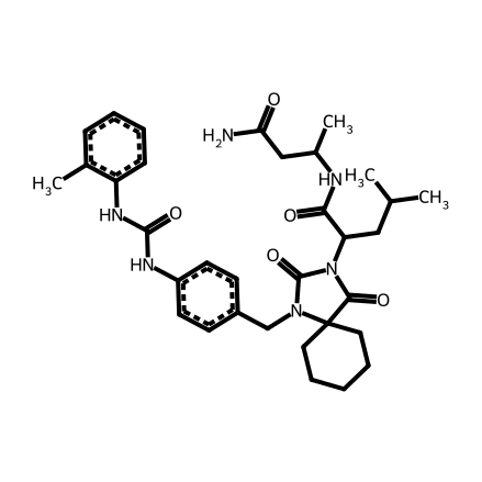 Cc1ccccc1NC(=O)Nc1ccc(CN2C(=O)N(C(CC(C)C)C(=O)NC(C)CC(N)=O)C(=O)C23CCCCC3)cc1